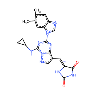 Cc1cc2ncn(-c3nc(NC4CC4)n4ncc(/C=C5\NC(=O)NC5=O)c4n3)c2cc1C